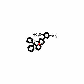 O=[N+]([O-])c1ccc(S(=O)(=O)O)c(-c2cccc(NC(c3ccccc3)(c3ccccc3)c3ccccc3)c2)c1